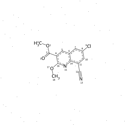 COC(=O)c1cc2cc(Cl)cc(C#N)c2nc1OC